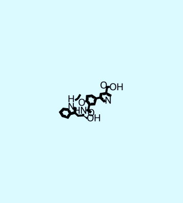 CC(C)Oc1ccc(-c2cncc(C(=O)O)c2)cc1C(=O)N[C@@H](CO)Cc1c[nH]c2ccccc12